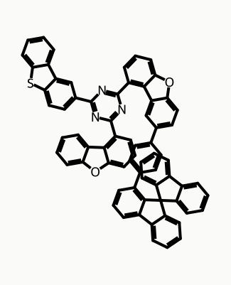 c1ccc2c(c1)-c1ccccc1C21c2ccccc2-c2cccc(-c3ccc(-c4ccc5oc6cccc(-c7nc(-c8ccc9sc%10ccccc%10c9c8)nc(-c8cccc9oc%10ccccc%10c89)n7)c6c5c4)cc3)c21